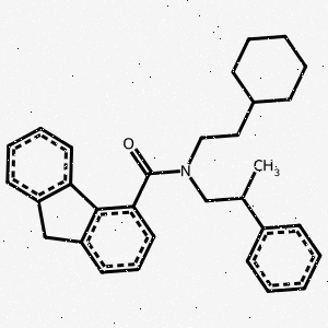 CC(CN(CCC1CCCCC1)C(=O)c1cccc2c1-c1ccccc1C2)c1ccccc1